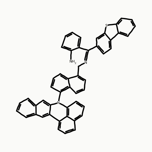 Nc1ccccc1/C(=N\Cc1cccc2c(N3c4cc5ccccc5cc4-c4cccc5cccc3c45)cccc12)c1ccc2c(c1)sc1ccccc12